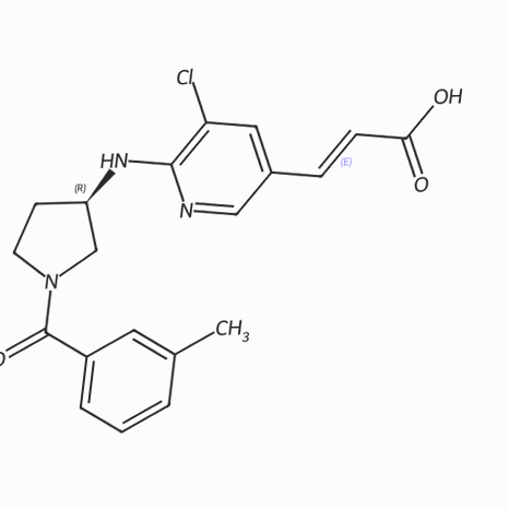 Cc1cccc(C(=O)N2CC[C@@H](Nc3ncc(/C=C/C(=O)O)cc3Cl)C2)c1